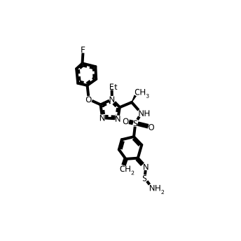 C=C1C=CC(S(=O)(=O)N[C@H](C)c2nnc(Oc3ccc(F)cc3)n2CC)=C/C1=N/SN